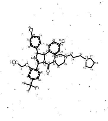 CCOc1cc(C(F)(F)F)ccc1C1=NC(c2ccc(Cl)cc2)C(c2ccc(Cl)cc2)N1C(=O)N1CCN(CCCN2CCCC2)CC1